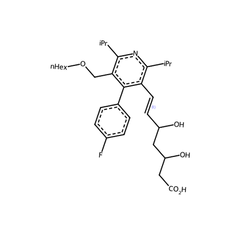 CCCCCCOCc1c(C(C)C)nc(C(C)C)c(/C=C/C(O)CC(O)CC(=O)O)c1-c1ccc(F)cc1